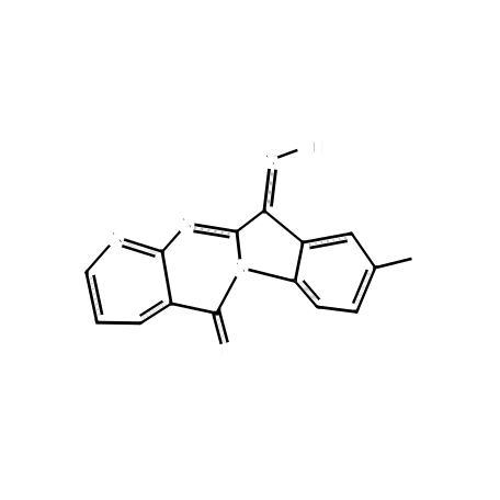 Cc1ccc2c(c1)C(=NO)c1nc3ncccc3c(=O)n1-2